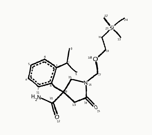 CC(C)c1ccccc1C1(C(N)=O)CC(=O)N(COCC[Si](C)(C)C)C1